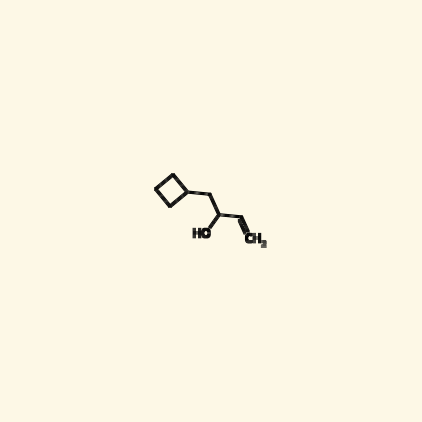 C=CC(O)CC1CCC1